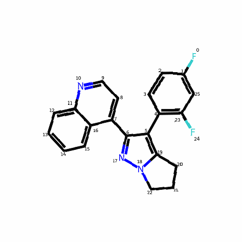 Fc1ccc(-c2c(-c3ccnc4ccccc34)nn3c2CCC3)c(F)c1